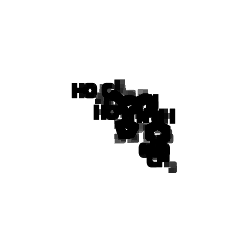 CS(=O)(=O)N1CCC(Nc2ncc3c(n2)N(C2CCCC2)C(O)C(C(F)(F)C(=O)O)=C3)CC1